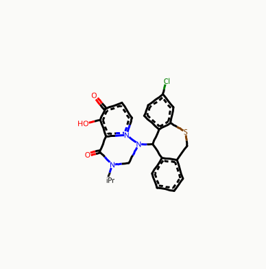 CC(C)N1CN(C2c3ccccc3CSc3cc(Cl)ccc32)n2ccc(=O)c(O)c2C1=O